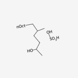 CCCCCCCCCC(C)CCC(C)O.O=S(=O)(O)O